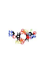 Cn1cnc2c(c(F)cn2[C@@H]2O[C@@H]3CO[P@@](=O)(S)O[C@H]4C[C@H](Oc5ccncn5)C[C@@H]4CO[P@](=O)(S)O[C@@H]2[C@@H]3O)c1=O